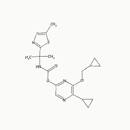 Cc1cnc(C(C)(C)NC(=O)Oc2cnc(C3CC3)c(OCC3CC3)n2)s1